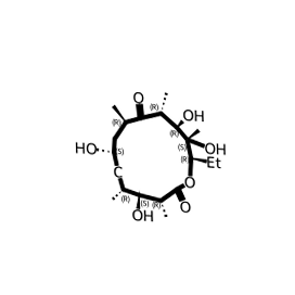 CC[C@H]1OC(=O)[C@H](C)[C@@H](O)[C@H](C)C[C@H](O)C[C@@H](C)C(=O)[C@H](C)[C@@H](O)[C@]1(C)O